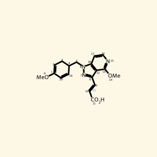 COC1=CCC(Cn2nc(/C=C/C(=O)O)c3c(OC)nccc32)C=C1